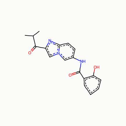 CC(C)C(=O)c1cn2cc(NC(=O)c3ccccc3O)ccc2n1